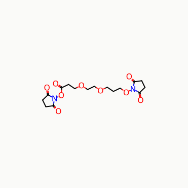 O=C(CCOCCOCCCON1C(=O)CCC1=O)ON1C(=O)CCC1=O